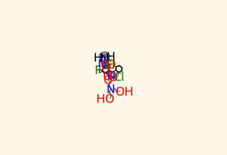 O=C(OCCN(CCO)CCO)c1cc(F)c2nc(N3[C@@H]4CC[C@H]3CC(OC(=O)c3c(-c5c(Cl)cccc5Cl)noc3C3CC3)C4)sc2c1